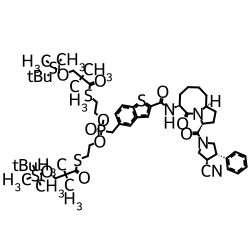 CC(C)(CO[Si](C)(C)C(C)(C)C)C(=O)SCCOP(=O)(Cc1ccc2sc(C(=O)N[C@H]3CCCC[C@H]4CC[C@@H](C(=O)N5C[C@H](c6ccccc6)[C@@H](C#N)C5)N4C3=O)cc2c1)OCCSC(=O)C(C)(C)CO[Si](C)(C)C(C)(C)C